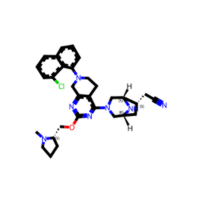 CN1CCC[C@H]1COc1nc2c(c(N3C[C@H]4C[C@@H](CC#N)[C@@H](C3)N4)n1)CCN(c1cccc3cccc(Cl)c13)C2